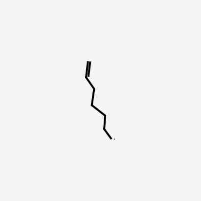 [CH2]CCCCC=C